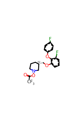 O=C(ON1CCC[C@H](COc2cccc(F)c2Oc2ccc(F)cc2)C1)C(F)(F)F